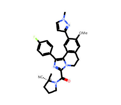 COc1cc2c(cc1-c1ccn(C)n1)-c1c(-c3ccc(F)cc3)nc(C(=O)N3CCC[C@]3(C)C#N)n1CC2